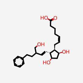 O=C(O)CCC/C=C\C[C@@H]1[C@@H](/C=C/C(CO)CCc2ccccc2)[C@H](O)C[C@@H]1O